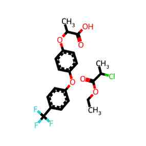 CC(Oc1ccc(Oc2ccc(C(F)(F)F)cc2)cc1)C(=O)O.CCOC(=O)C(C)Cl